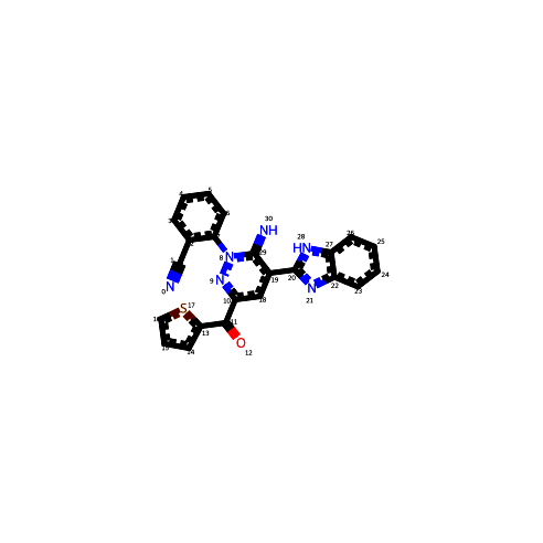 N#Cc1ccccc1-n1nc(C(=O)c2cccs2)cc(-c2nc3ccccc3[nH]2)c1=N